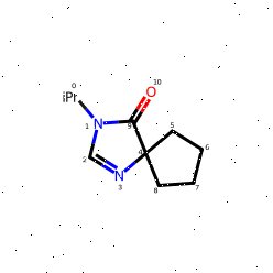 CC(C)N1C=NC2(CCCC2)C1=O